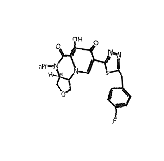 CCCN1C(=O)c2c(O)c(=O)c(-c3nnc(Cc4ccc(F)cc4)s3)cn2C2COC[C@@H]21